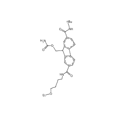 CCCCNC(=O)c1ccc2c(c1)C(COC(N)=O)c1cc(C(=O)NCCCCOCC)ccc1-2